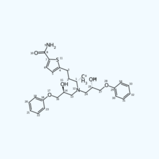 C[C@@H](CCc1ccc(C(N)=O)s1)N(C[C@H](O)COc1ccccc1)C[C@H](O)COc1ccccc1